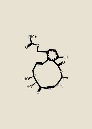 CNC(=O)OCc1ccc(O)c2c1/C=C/C[C@H](O)[C@H](O)C(=O)/C=C\[C@@H](C)[C@H](C)OC2=O